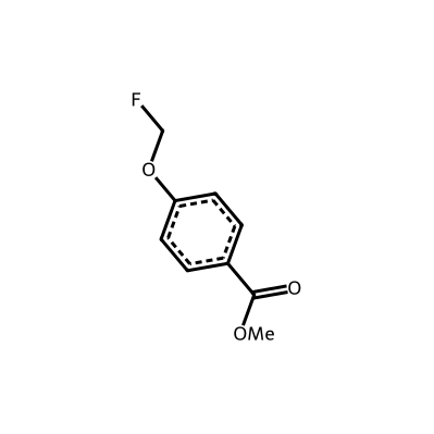 COC(=O)c1ccc(OCF)cc1